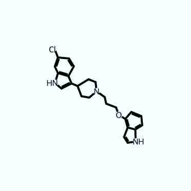 Clc1ccc2c(C3CCN(CCCOc4cccc5[nH]ccc45)CC3)c[nH]c2c1